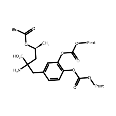 CCCC(C)OC(=O)Oc1ccc(CC(N)(C[C@H](C)OC(=O)C(C)CC)C(=O)O)cc1OC(=O)OC(C)CCC